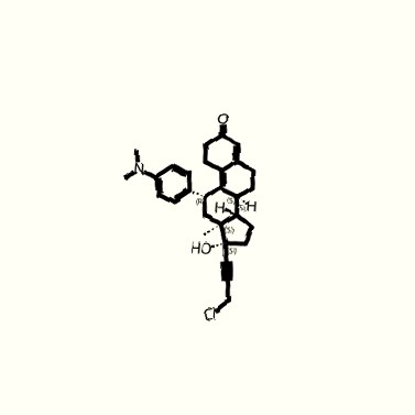 CN(C)c1ccc([C@H]2C[C@@]3(C)[C@@H](CC[C@@]3(O)C#CCCl)[C@@H]3CCC4=CC(=O)CCC4=C32)cc1